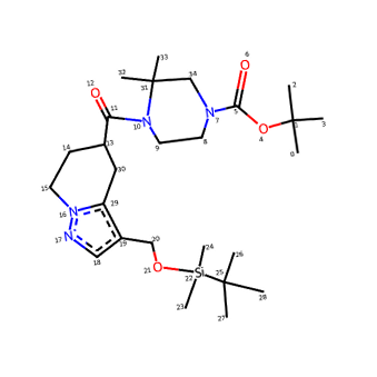 CC(C)(C)OC(=O)N1CCN(C(=O)C2CCn3ncc(CO[Si](C)(C)C(C)(C)C)c3C2)C(C)(C)C1